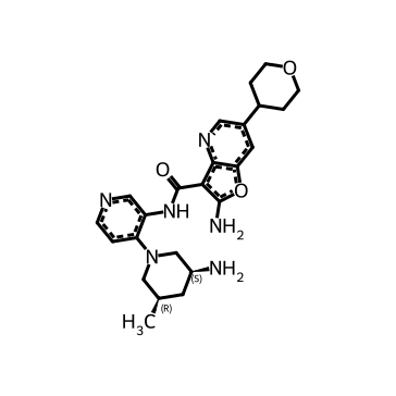 C[C@@H]1C[C@H](N)CN(c2ccncc2NC(=O)c2c(N)oc3cc(C4CCOCC4)cnc23)C1